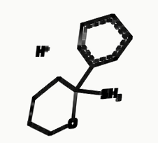 [H+].[SiH3]C1(c2ccccc2)CCCCO1